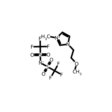 COCCn1cc[n+](C)c1.O=S(=O)([N-]S(=O)(=O)C(F)(F)F)C(F)(F)F